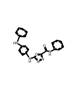 O=C(Nc1ccccc1)c1nnc(Nc2ccc(Nc3ccccc3)cc2)o1